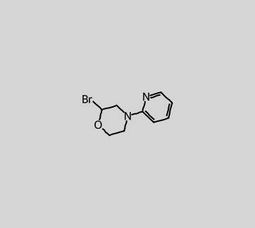 BrC1CN(c2ccccn2)CCO1